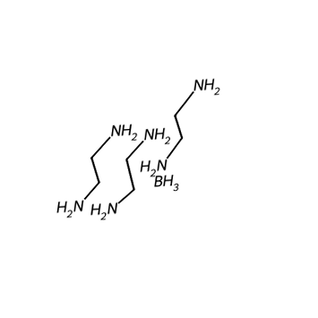 B.NCCN.NCCN.NCCN